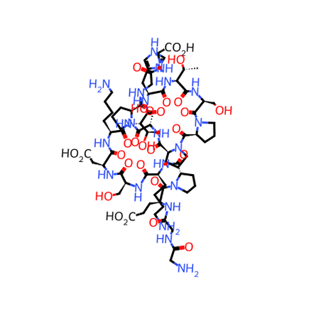 C[C@@H](O)[C@H](NC(=O)[C@H](CCCCN)NC(=O)[C@H](CC(=O)O)NC(=O)[C@H](CO)NC(=O)[C@H](CCCCN)NC(=O)[C@@H]1CCCN1C(=O)[C@H](CCC(=O)O)NC(=O)CNC(=O)CN)C(=O)N[C@@H](Cc1c[nH]cn1)C(=O)N[C@H](C(=O)N[C@@H](CO)C(=O)N1CCC[C@H]1C(=O)N1CCC[C@H]1C(=O)N[C@@H](CO)C(=O)N1CCC[C@H]1C(=O)NCC(=O)NCC(=O)O)[C@@H](C)O